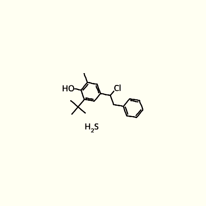 Cc1cc(C(Cl)Cc2ccccc2)cc(C(C)(C)C)c1O.S